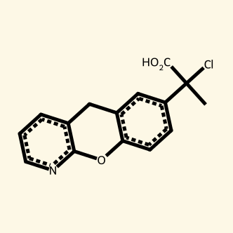 CC(Cl)(C(=O)O)c1ccc2c(c1)Cc1cccnc1O2